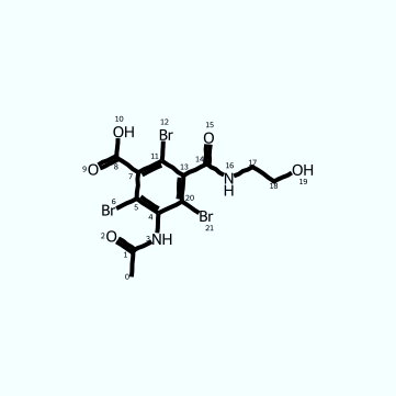 CC(=O)Nc1c(Br)c(C(=O)O)c(Br)c(C(=O)NCCO)c1Br